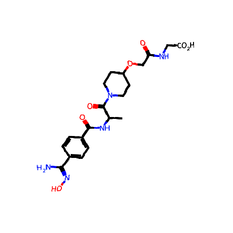 CC(NC(=O)c1ccc(/C(N)=N/O)cc1)C(=O)N1CCC(OCC(=O)NCC(=O)O)CC1